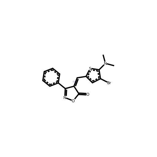 CN(C)c1sc(/C=C2\C(=O)ON=C2c2ccccc2)cc1Br